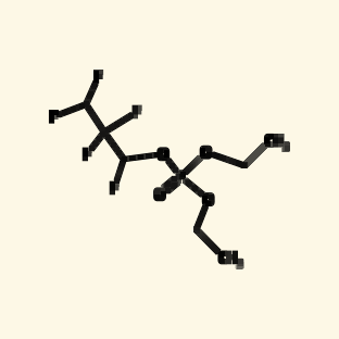 CCOP(=O)(OCC)OC(F)C(F)(F)C(F)F